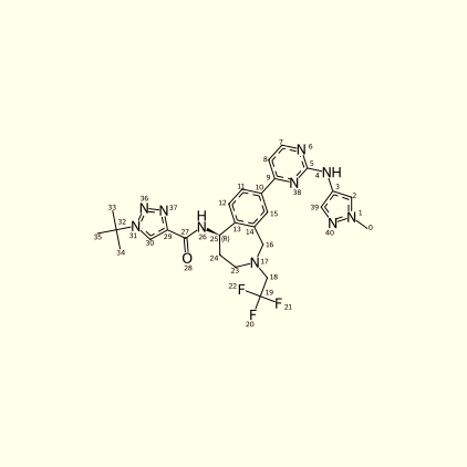 Cn1cc(Nc2nccc(-c3ccc4c(c3)CN(CC(F)(F)F)CC[C@H]4NC(=O)c3cn(C(C)(C)C)nn3)n2)cn1